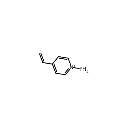 C=Cc1cc[n+](P)cc1